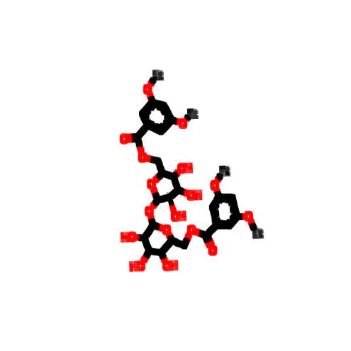 CCOc1cc(OCC)cc(C(=O)OCC2OC(OC3OC(COC(=O)c4cc(OCC)cc(OCC)c4)C(O)C(O)[C@H]3O)C(O)C(O)C2O)c1